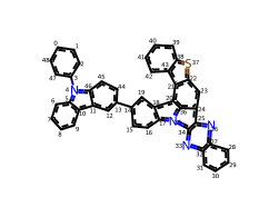 c1ccc(-n2c3ccccc3c3cc(-c4ccc5c(c4)c4c6c(cc7c8nc9ccccc9nc8n5c74)sc4ccccc46)ccc32)cc1